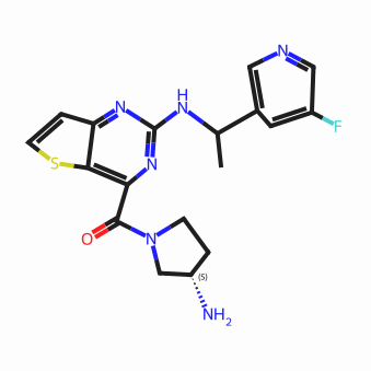 CC(Nc1nc(C(=O)N2CC[C@H](N)C2)c2sccc2n1)c1cncc(F)c1